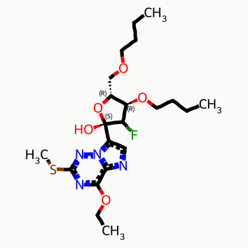 CCCCOC[C@H]1O[C@@](O)(c2cnc3c(OCC)nc(SC)nn23)C(F)[C@@H]1OCCCC